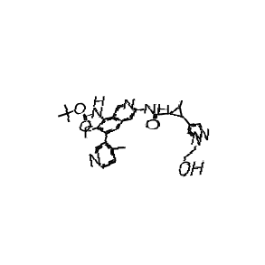 Cc1ccncc1-c1cc2cc(NC(=O)C3C(C)C3c3cnn(CCO)c3)ncc2c(NC(=O)OC(C)(C)C)c1F